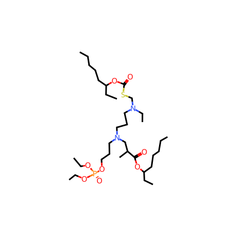 CCCCCC(CC)OC(=O)SCN(CC)CCCN(CCCOP(=O)(OCC)OCC)CC(C)C(=O)OC(CC)CCCCC